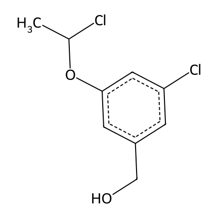 CC(Cl)Oc1cc(Cl)cc(CO)c1